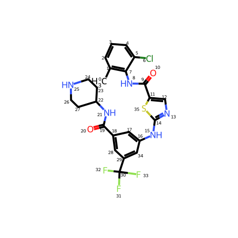 Cc1cccc(Cl)c1NC(=O)c1cnc(Nc2cc(C(=O)NC3CCNCC3)cc(C(F)(F)F)c2)s1